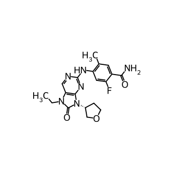 CCn1c(=O)n([C@@H]2CCOC2)c2nc(Nc3cc(F)c(C(N)=O)cc3C)ncc21